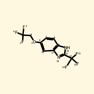 FC(F)(F)COc1ccc2[nH]c(C(F)(F)F)nc2c1